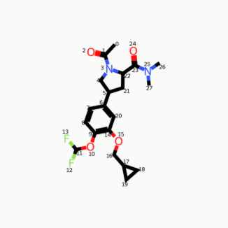 CC(=O)N1CC(c2ccc(OC(F)F)c(OCC3CC3)c2)CC1C(=O)N(C)C